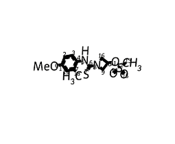 COc1ccc(NC(=S)N2CC(OS(C)(=O)=O)C2)c(C)c1